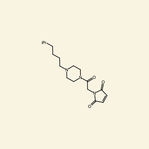 CC(C)CCCCN1CCN(C(=O)CN2C(=O)C=CC2=O)CC1